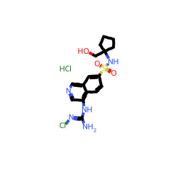 Cl.NC(=NCl)Nc1cncc2cc(S(=O)(=O)NC3(CO)CCCC3)ccc12